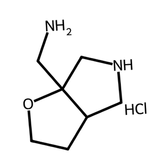 Cl.NCC12CNCC1CCO2